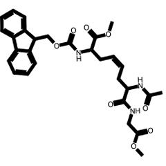 COC(=O)CNC(=O)C(C/C=C\CC(NC(=O)OCC1c2ccccc2-c2ccccc21)C(=O)OC)NC(C)=O